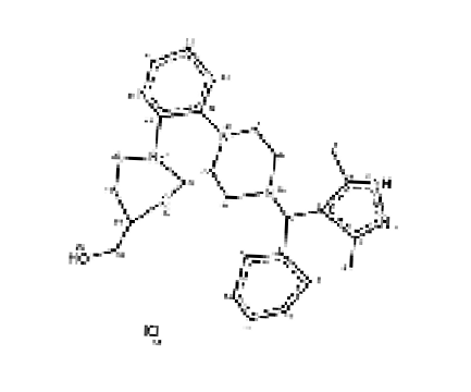 Cc1n[nH]c(C)c1C(c1ccccc1)N1CCN(c2nccnc2N2CCC(CO)CC2)CC1.Cl